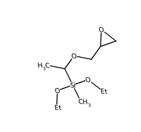 CCO[Si](C)(OCC)C(C)OCC1CO1